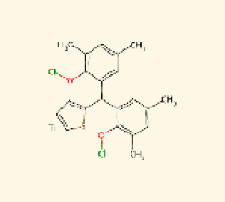 Cc1cc(C)c(OCl)c(C(c2cccs2)c2cc(C)cc(C)c2OCl)c1.[Ti]